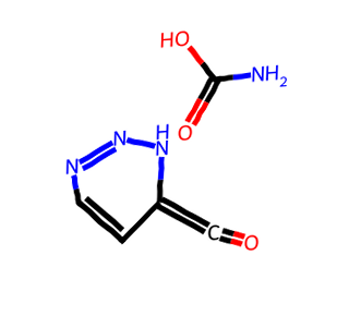 NC(=O)O.O=C=C1C=CN=NN1